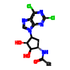 CCC(=O)N[C@H]1CC(n2cnc3c(Cl)nc(Cl)nc32)C(O)[C@@H]1O